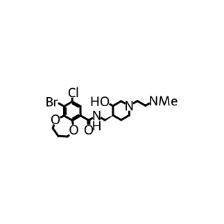 CNCCN1CC[C@@H](CNC(=O)c2cc(Cl)c(Br)c3c2OCCCO3)C(O)C1